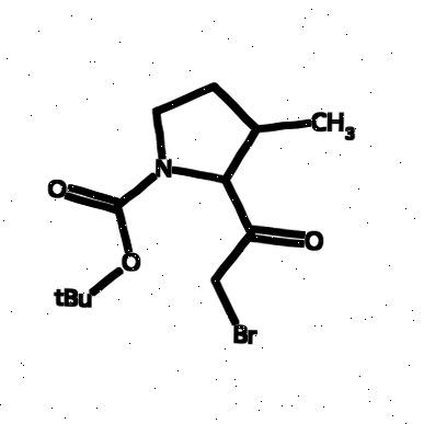 CC1CCN(C(=O)OC(C)(C)C)C1C(=O)CBr